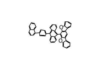 c1ccc2c(-c3ccc(-c4c5ccccc5c(-c5c6oc7ccccc7c6cc6c5oc5ccccc56)c5ccccc45)cc3)cccc2c1